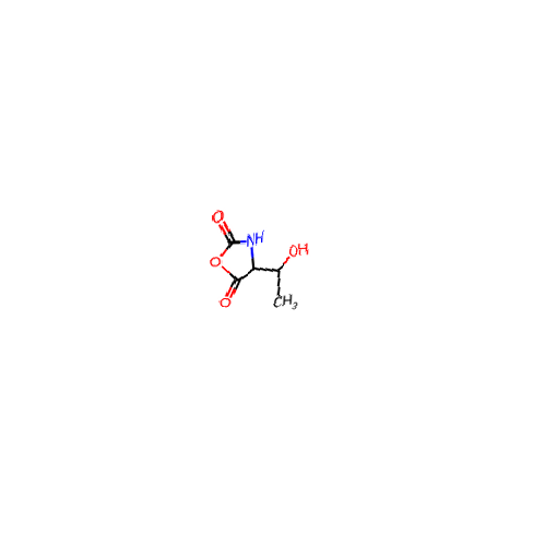 CC(O)C1NC(=O)OC1=O